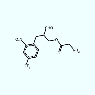 NCC(=O)OCC(C=O)Cc1ccc(C(F)(F)F)cc1[N+](=O)[O-]